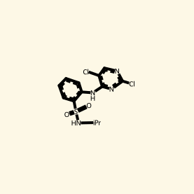 CC(C)NS(=O)(=O)c1ccccc1Nc1nc(Cl)ncc1Cl